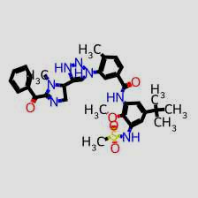 COc1c(NC(=O)c2ccc(C)c(N3C=C(C4CN=C(C(=O)c5ccccc5)N4C)NN3)c2)cc(C(C)(C)C)cc1NS(C)(=O)=O